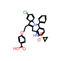 O=C(O)c1ccc(OCCc2c(CCNS(=O)(=O)C3CC3)n(C(c3ccccc3)c3ccccc3)c3ccc(Cl)cc23)cc1